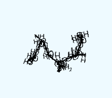 CNCCCCC(NC(=O)CCOCCOCCNC(=O)C(CS)NC(C)=O)C(=O)NCCOCCOCCC(=O)NCCCCC(NC(=O)CCOCCOCCNC(=O)C(CCCCNC)NC(=O)CCOCCOCCNC(=O)C(CS)NC(C)=O)C(=O)NC(CSSC(C)(C)C)C(N)=O